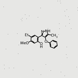 CCc1cc(-c2n[nH]c(C)c2Oc2ccccc2)c(O)cc1OC